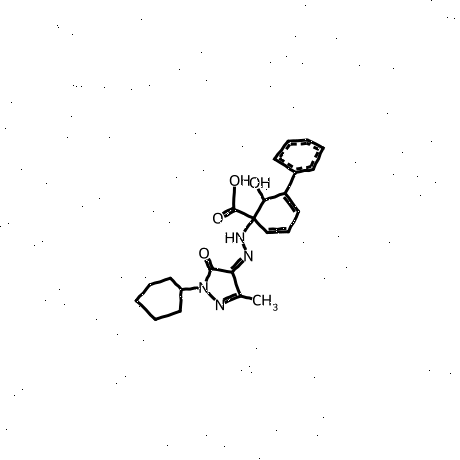 CC1=NN(C2CCCCC2)C(=O)/C1=N\NC1(C(=O)O)C=CC=C(c2ccccc2)C1O